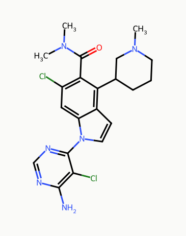 CN1CCCC(c2c(C(=O)N(C)C)c(Cl)cc3c2ccn3-c2ncnc(N)c2Cl)C1